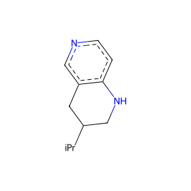 CC(C)C1CNc2ccncc2C1